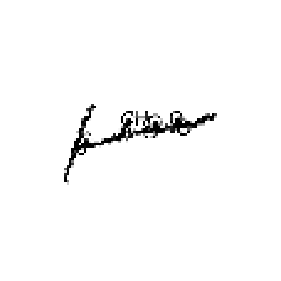 CCCCCCCCC(CCCCCCCC)OC(=O)CCCCCCCN(CCO)CCCCOC(=O)CCCC(=O)OCCCCCCC